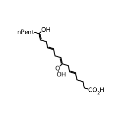 CCCCCC(O)=CCC=CCC=C(CC=CCCCC(=O)O)OO